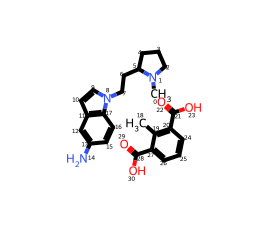 CN1CCCC1CCn1ccc2cc(N)ccc21.Cc1c(C(=O)O)cccc1C(=O)O